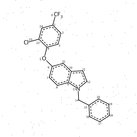 FC(F)(F)c1ccc(Oc2ccc3c([c]cn3Cc3ccccc3)c2)c(Cl)c1